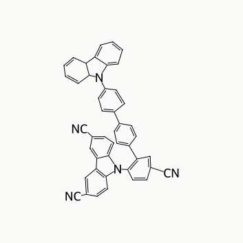 N#Cc1ccc(-n2c3ccc(C#N)cc3c3cc(C#N)ccc32)c(-c2ccc(-c3ccc(N4c5ccccc5C5C=CC=CC54)cc3)cc2)c1